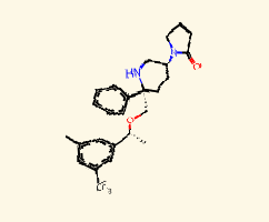 Cc1cc([C@@H](C)OC[C@@]2(c3ccccc3)CC[C@H](N3CCCC3=O)CN2)cc(C(F)(F)F)c1